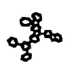 c1ccc(-c2nc(-c3ccccc3)nc(-c3ccc4c(c3)c3cc5c(cc3n4-c3ccc4c(c3)sc3ccccc34)-c3ccccc3C53CCCCC3)n2)cc1